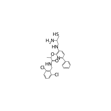 CC(Oc1nc(-c2ccccc2)ccc1NCC(N)CS)C(=O)NCc1c(Cl)cccc1Cl